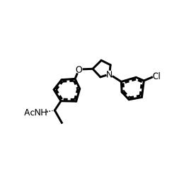 CC(=O)N[C@@H](C)c1ccc(OC2CCN(c3cccc(Cl)c3)C2)cc1